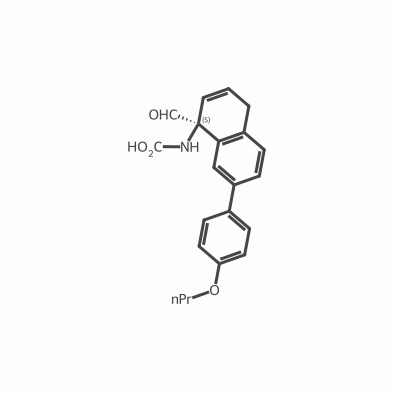 CCCOc1ccc(-c2ccc3c(c2)[C@@](C=O)(NC(=O)O)C=CC3)cc1